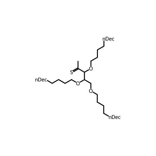 CCCCCCCCCCCCCCOCC(OCCCCCCCCCCCCCC)C(OCCCCCCCCCCCCCC)C(C)=S